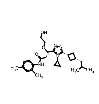 Cc1ccc(NC(=O)C[C@H](OCCO)c2nnc([C@H]3C[C@@H](CC(C)C)C3)n2C2CC2)c(C)c1